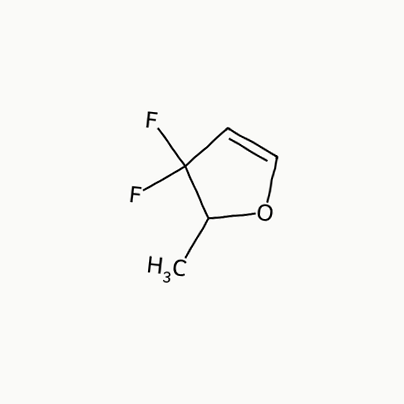 CC1OC=CC1(F)F